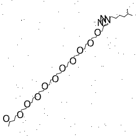 CC(=O)CCOCCOCCOCCOCCOCCOCCOCCOCCOCCOCc1cn(CCCCC(C)C)nn1